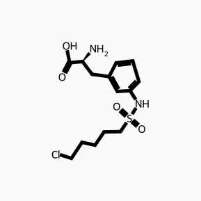 N[C@@H](Cc1cccc(NS(=O)(=O)CCCCCCl)c1)C(=O)O